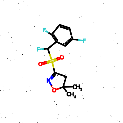 CC1(C)CC(S(=O)(=O)C(F)c2cc(F)ccc2F)=NO1